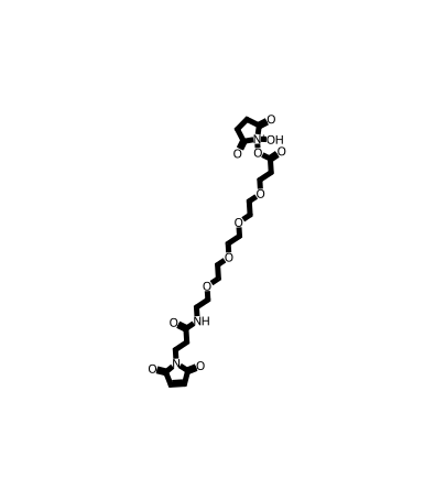 O=C(CCN1C(=O)C=CC1=O)NCCOCCOCCOCCOCCC(=O)O[N+]1(O)C(=O)CCC1=O